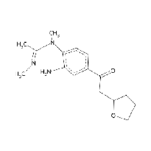 CN=C(C)N(C)c1ccc(C(=O)CC2CCCO2)cc1N